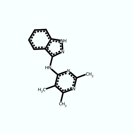 Cc1nc(C)c(C)c(Nc2n[nH]c3ccccc23)n1